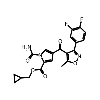 Cc1onc(-c2ccc(F)c(F)c2)c1C(=O)c1cc(C(=O)OCC2CC2)n(C(N)=O)c1